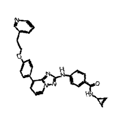 O=C(NC1CC1)c1ccc(Nc2nc3c(-c4ccc(OCCc5cccnc5)cc4)cccn3n2)cc1